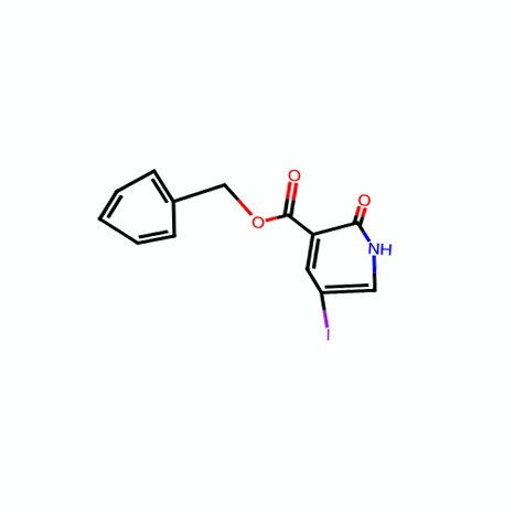 O=C(OCc1ccccc1)c1cc(I)c[nH]c1=O